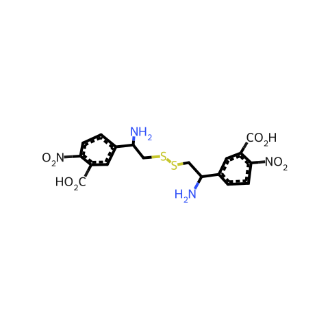 NC(CSSCC(N)c1ccc([N+](=O)[O-])c(C(=O)O)c1)c1ccc([N+](=O)[O-])c(C(=O)O)c1